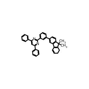 CC1(C)C2=C(C=CCC2)c2cc(-c3cccc(-c4nc(-c5ccccc5)cc(-c5ccccc5)n4)c3)ccc21